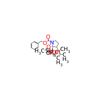 CC(C)C(C)(C)C1CCN(C(=O)OCc2ccccc2)[C@]1(O[SiH](C)C)C(=O)O